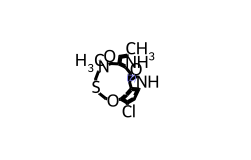 Cc1cc2c([nH]1)/C=C1\C(=O)Nc3cc(Cl)c(cc31)OCCSCCN(C)C2=O